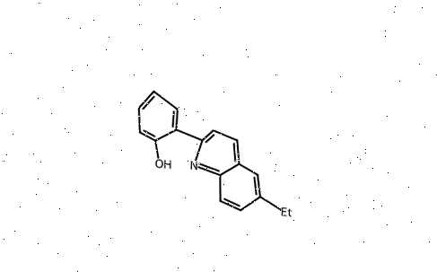 CCc1ccc2nc(-c3ccccc3O)ccc2c1